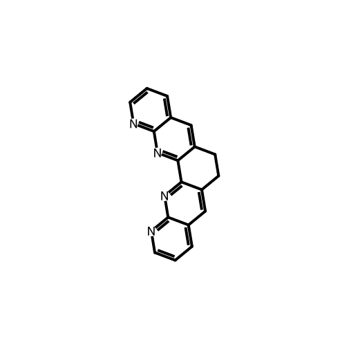 c1cnc2nc3c(cc2c1)CCc1cc2cccnc2nc1-3